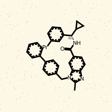 Cc1nc2ccc(C(=O)N[C@H](c3cccc(C(C)C)c3)C3CC3)cc2n1Cc1ccc(-c2ccccc2)cc1